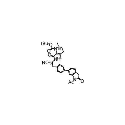 CC(=O)N1C(=O)Cc2ccc(-c3ccc(C[C@@H](C#N)NC(=O)[C@@H]4[C@H](C)CC[C@H](C)N4C(=O)OC(C)(C)C)cc3)cc21